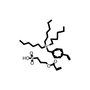 C=CC(=O)OCCCS(=O)(=O)O.C=Cc1ccc(C[N+](CCCCCC)(CCCCCC)CCCCCC)cc1